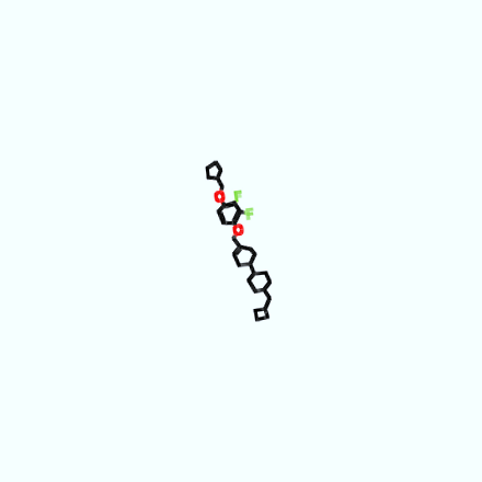 Fc1c(OCC2=CCC(C3CCC(CC4CCC4)CC3)CC2)ccc(OCC2CCCC2)c1F